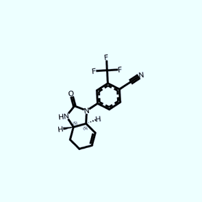 N#Cc1ccc(N2C(=O)N[C@H]3CCC=C[C@@H]32)cc1C(F)(F)F